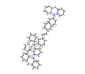 C1=CC2Cc3ccccc3N(c3ccc4cc(/C=C/c5ccc6c(c5)C5(c7cc(N8c9ccccc9Cc9ccccc98)ccc7-6)c6ccccc6C6C=CC=CC65)ccc4c3)C2C=C1